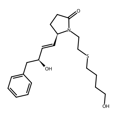 O=C1CC[C@H](/C=C/[C@@H](O)Cc2ccccc2)N1CCSCCCCO